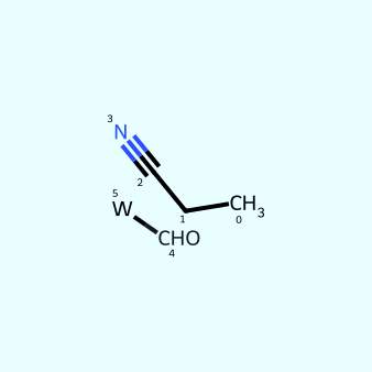 CCC#N.O=[CH][W]